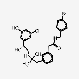 CC(C)(Cc1cccc(CC(=O)NCc2ccc(Br)cc2)c1)NC[C@H](O)c1cc(O)cc(O)c1